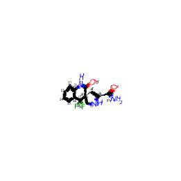 NC(=O)[C@@H]1C[C@@]2(CN1)C(=O)Nc1ccccc1C2(F)F